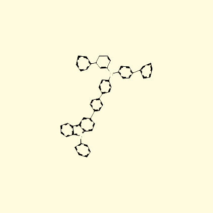 C1=CC(N(c2ccc(-c3ccccc3)cc2)c2ccc(-c3ccc(-c4ccc5c(c4)c4ccccc4n5-c4ccccc4)cc3)cc2)=CC(c2ccccc2)C1